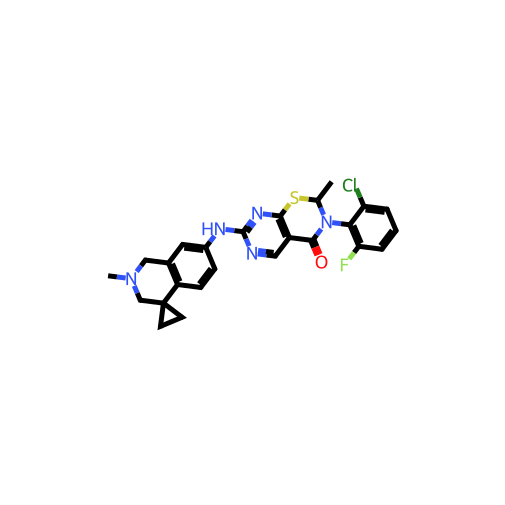 CC1Sc2nc(Nc3ccc4c(c3)CN(C)CC43CC3)ncc2C(=O)N1c1c(F)cccc1Cl